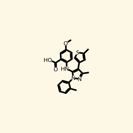 COc1ccc(Nc2c(-c3csc(C)c3)c(C)nn2-c2ccccc2C)c(C(=O)O)c1